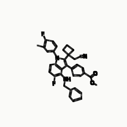 COC(=O)c1ccc(-c2c(C3(CC#N)CCC3)n(-c3ccc(F)c(C)c3)c3ccc(F)c(NCc4ccccc4)c23)cc1